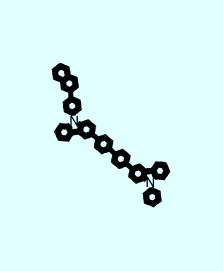 c1ccc(-n2c3ccccc3c3cc(-c4ccc(-c5ccc(-c6ccc7c(c6)c6ccccc6n7-c6ccc(-c7ccc8ccccc8c7)cc6)cc5)cc4)ccc32)cc1